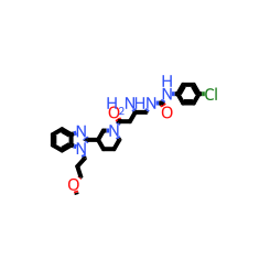 COCCCn1c(C2CCCN(C(=O)CC(N)CNC(=O)Nc3ccc(Cl)cc3)C2)nc2ccccc21